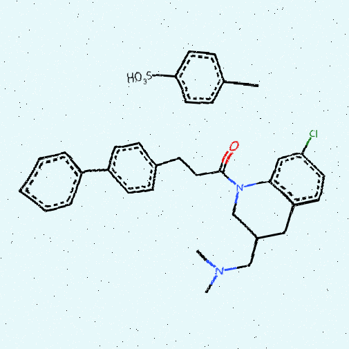 CN(C)CC1Cc2ccc(Cl)cc2N(C(=O)CCc2ccc(-c3ccccc3)cc2)C1.Cc1ccc(S(=O)(=O)O)cc1